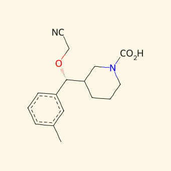 Cc1cccc([C@H](OCC#N)C2CCCN(C(=O)O)C2)c1